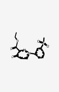 CCOC(=O)c1nn(-c2cccc(S(C)(=O)=O)c2)ccc1=O